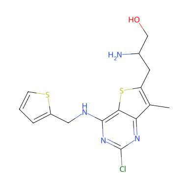 Cc1c(CC(N)CO)sc2c(NCc3cccs3)nc(Cl)nc12